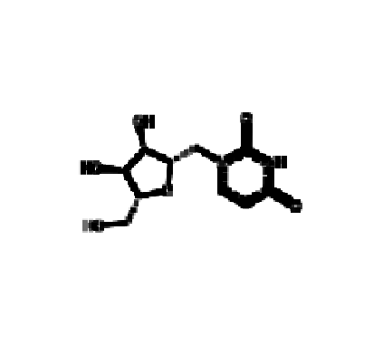 O=c1ccn(C[C@@H]2O[C@H](CO)[C@@H](O)[C@H]2O)c(=O)[nH]1